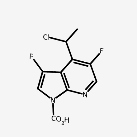 CC(Cl)c1c(F)cnc2c1c(F)cn2C(=O)O